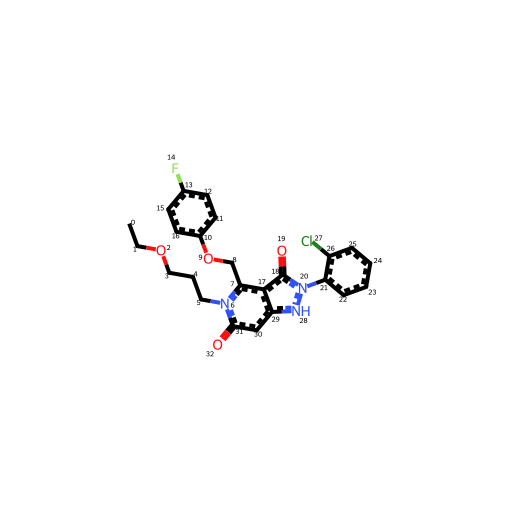 CCOCCCn1c(COc2ccc(F)cc2)c2c(=O)n(-c3ccccc3Cl)[nH]c2cc1=O